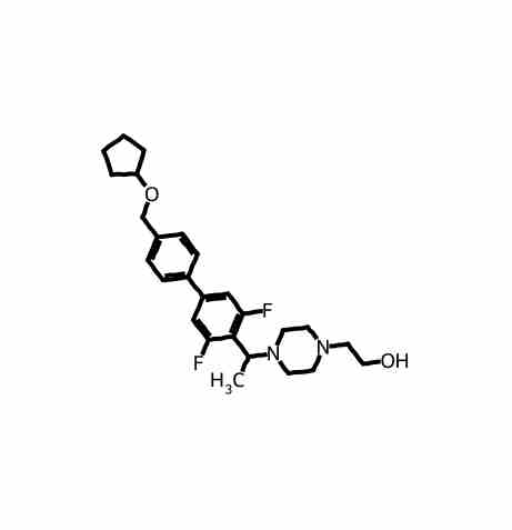 CC(c1c(F)cc(-c2ccc(COC3CCCC3)cc2)cc1F)N1CCN(CCO)CC1